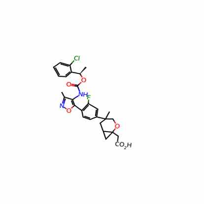 Cc1noc(-c2ccc(C3(C)COC4(CC(=O)O)CC4C3)cc2F)c1NC(=O)O[C@H](C)c1ccccc1Cl